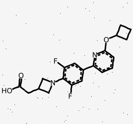 O=C(O)CC1CN(c2c(F)cc(-c3cccc(OC4CCC4)n3)cc2F)C1